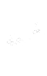 Cn1nc(C2CCC(=O)NC2=O)c2ccc(C3CCN(C[C@H]4CCN(c5ncc(Cl)c(Nc6ccc7c(c6)c6c(c(=O)n7C)OCC(F)(F)[C@H](C7CC7)N6)n5)CC4(C)C)CC3)cc21